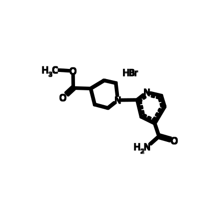 Br.COC(=O)C1CCN(c2cc(C(N)=O)ccn2)CC1